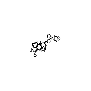 CSc1c2c3c(cccc3n1C)[C@@H]1CC(COC(=O)N3CCOCC3)CN(C)[C@H]1C2